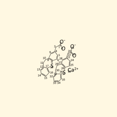 O=C([O-])Cc1ccc2c(c1)CCc1ccccc1S2.O=C([O-])Cc1ccc2c(c1)CCc1ccccc1S2.[Ca+2]